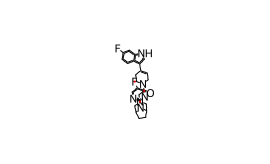 O=C(CN1CC2CCC(C1)N2c1ncc(F)cn1)N1CC=C(c2c[nH]c3cc(F)ccc23)CC1